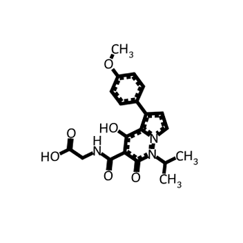 COc1ccc(-c2ccn3c2c(O)c(C(=O)NCC(=O)O)c(=O)n3C(C)C)cc1